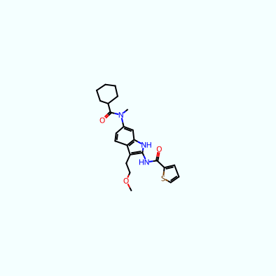 COCCc1c(NC(=O)c2cccs2)[nH]c2cc(N(C)C(=O)C3CCCCC3)ccc12